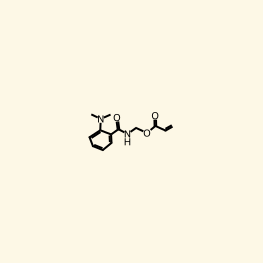 C=CC(=O)OCNC(=O)c1ccccc1N(C)C